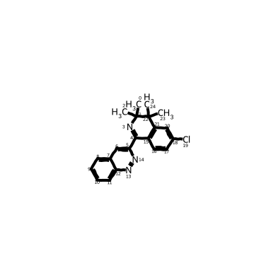 CC1(C)N=C(c2cc3ccccc3nn2)c2ccc(Cl)cc2C1(C)C